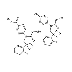 C=C(OCC)c1ccc(N(CC2(c3ncccc3F)CCC2)C(=O)OC(C)(C)C)nn1.CC(=O)c1ccc(N(CC2(c3ncccc3F)CCC2)C(=O)OC(C)(C)C)nn1